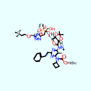 C=NN(c1nc(/C=C/c2ccccc2)nc(N(C(=O)OC(C)(C)C)C2CCC2)c1C)[C@@H]1O[C@H](CO[C@](CO)(Cc2nnn(COCC[Si](C)(C)C)n2)P(=O)(OCC)OCC)[C@H]2OC(C)(C)O[C@H]21